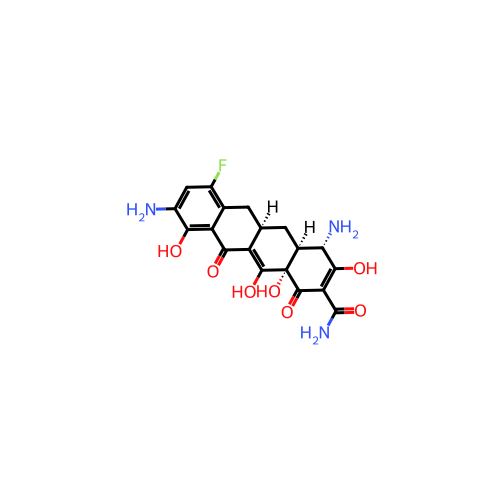 NC(=O)C1=C(O)[C@@H](N)[C@@H]2C[C@@H]3Cc4c(F)cc(N)c(O)c4C(=O)C3=C(O)[C@]2(O)C1=O